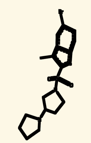 Cc1c(S(=O)(=O)N2CCC(N3CCCC3)C2)sc2ccc(Br)cc12